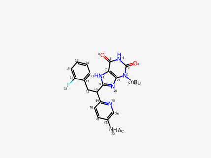 CCCCn1c(=O)[nH]c(=O)c2[nH]c(C(Cc3ccccc3F)c3ccc(NC(C)=O)cn3)nc21